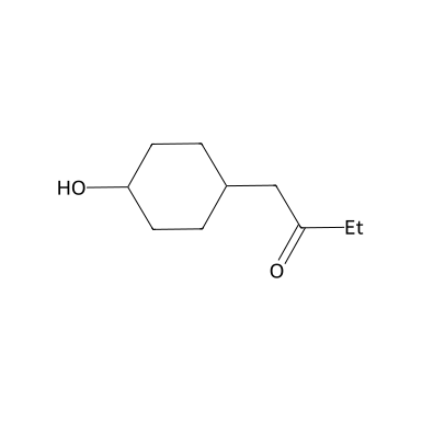 CCC(=O)CC1CCC(O)CC1